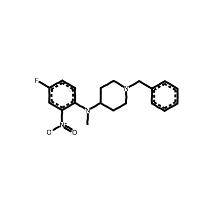 CN(c1ccc(F)cc1[N+](=O)[O-])C1CCN(Cc2ccccc2)CC1